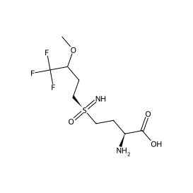 COC(CC[S@](=N)(=O)CC[C@H](N)C(=O)O)C(F)(F)F